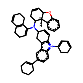 C1=CCCC(n2c3c(c4cc(C5=CCCCC5)ccc42)CC(N(C2=CCCC4=C2CCC=C4)C2CC=CC4Oc5ccccc5[C@@H]42)C=C3)=C1